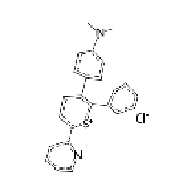 CN(C)c1ccc(-c2ccc(-c3ccccn3)[s+]c2-c2ccccc2)cc1.[Cl-]